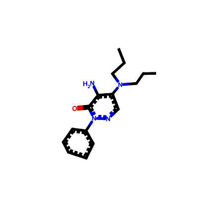 CCCN(CCC)c1cnn(-c2ccccc2)c(=O)c1N